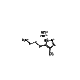 Cc1nn[nH]c1CCCN.Cl.Cl